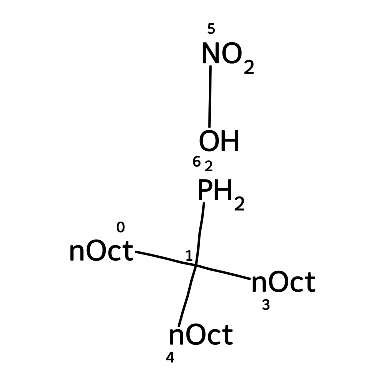 CCCCCCCCC(P)(CCCCCCCC)CCCCCCCC.O=[N+]([O-])O